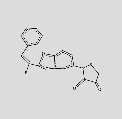 O=C1CSN(c2ccc3oc(/C(F)=C\c4ccccc4)nc3c2)C1=O